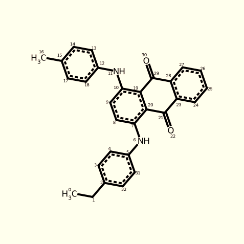 CCc1ccc(Nc2ccc(Nc3ccc(C)cc3)c3c2C(=O)c2ccccc2C3=O)cc1